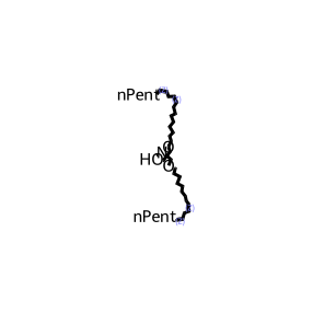 CCCCC/C=C\C/C=C\CCCCCCCCOCC(CO)(COCCCCCCCC/C=C\C/C=C\CCCCC)N(C)C